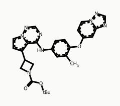 Cc1cc(Nc2ncnn3ccc(C4CN(C(=O)OC(C)(C)C)C4)c23)ccc1Oc1ccn2ncnc2c1